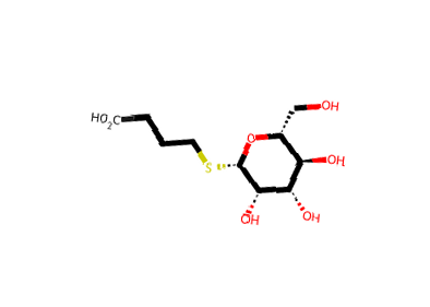 O=C(O)CCCS[C@@H]1O[C@H](CO)[C@@H](O)[C@H](O)[C@@H]1O